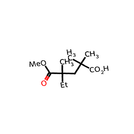 CCC(C)(CC(C)(C)C(=O)O)C(=O)OC